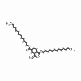 CCCCCCCCCCCCCOC(=O)C1CCC(C(=O)OCCCCCCCCCCCCC)C(C(=O)O)C1